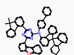 CC1(C)c2ccccc2-c2c(-c3nc(-c4cccc5oc6ccccc6c45)nc(N(c4ccc(-c5ccccc5)cc4)c4cccc5c4-c4ccccc4C54C5=C(CCC=C5)c5ccccc54)n3)cccc21